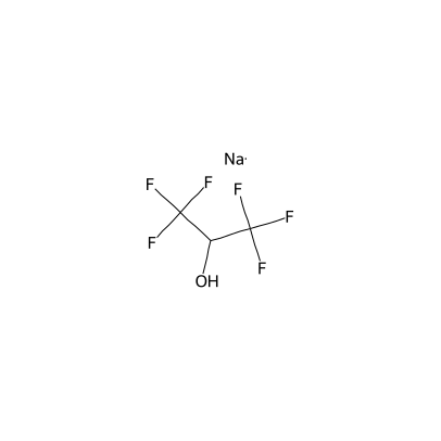 OC(C(F)(F)F)C(F)(F)F.[Na]